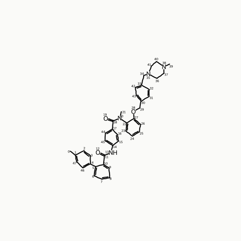 Cc1ccc(-c2ccccc2C(=O)Nc2ccc(C(=O)N(C)c3ccccc3OCc3ccc(CN4CCN(C)CC4)cc3)cc2)cc1